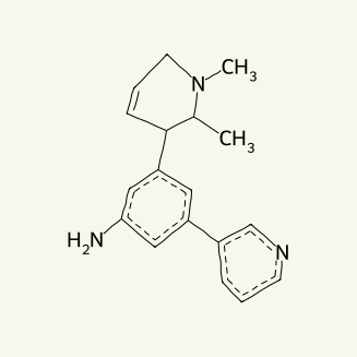 CC1C(c2cc(N)cc(-c3cccnc3)c2)C=CCN1C